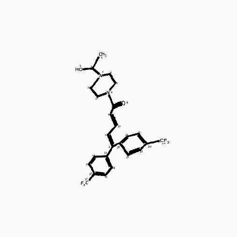 CC(O)N1CCN(C(=O)C=CC=C(c2ccc(C(F)(F)F)cc2)c2ccc(C(F)(F)F)cc2)CC1